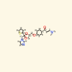 CN(C)/C=C/C(=O)c1ccc(OCC2COC(Cn3ccnc3)(c3cccs3)O2)cc1